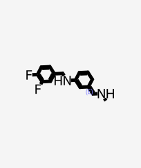 CN/C=C1/C=C(NCc2ccc(F)c(F)c2)C=CC1